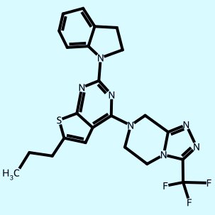 CCCc1cc2c(N3CCn4c(nnc4C(F)(F)F)C3)nc(N3CCc4ccccc43)nc2s1